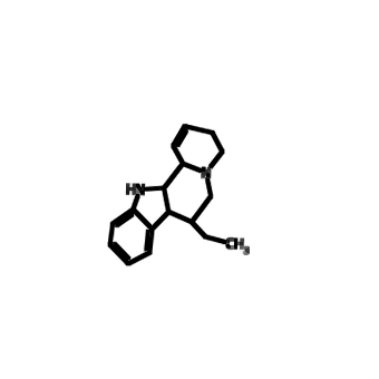 CCC1CN2CCC=CC2C2Nc3ccccc3C12